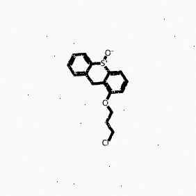 [O-][S+]1c2ccccc2Cc2c(OCCCCl)cccc21